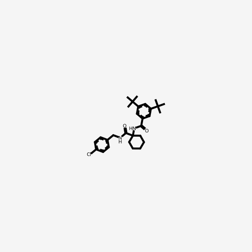 CC(C)(C)c1cc(C(=O)NC2(C(=O)NCc3ccc(Cl)cc3)CCCCC2)cc(C(C)(C)C)c1